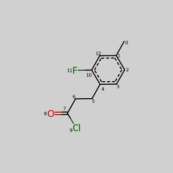 Cc1ccc(CCC(=O)Cl)c(F)c1